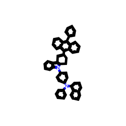 C1=C(c2c3ccccc3c(-c3ccccc3)c3ccccc23)CCc2c1c1ccccc1n2-c1ccc(N(c2ccccc2)c2cccc3ccccc23)cc1